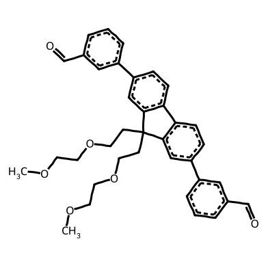 COCCOCCC1(CCOCCOC)c2cc(-c3cccc(C=O)c3)ccc2-c2ccc(-c3cccc(C=O)c3)cc21